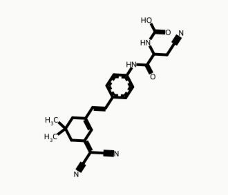 CC1(C)CC(C=Cc2ccc(NC(=O)C(CC#N)NC(=O)O)cc2)=CC(=C(C#N)C#N)C1